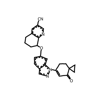 N#Cc1cnc2c(c1)CCCC2Oc1ccc2cnn(C3=CC(=O)C4(CC3)CC4)c2c1